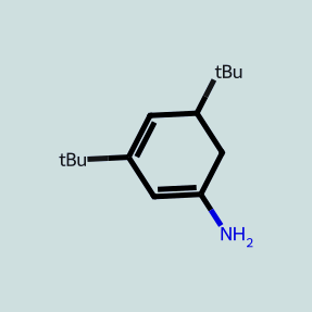 CC(C)(C)C1=CC(C(C)(C)C)CC(N)=C1